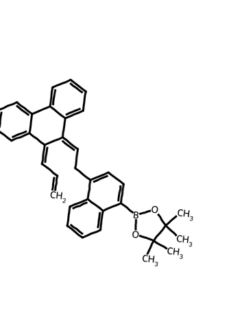 C=C/C=c1\c(=C/Cc2ccc(B3OC(C)(C)C(C)(C)O3)c3ccccc23)c2ccccc2c2ccccc12